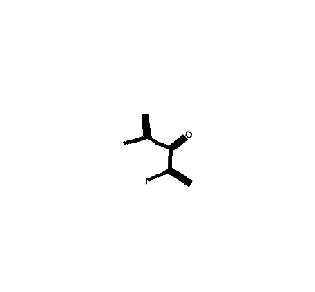 C=C(C)C(=O)C(=C)I